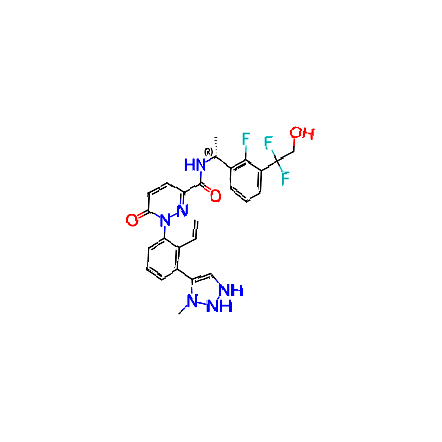 C=Cc1c(C2=CNNN2C)cccc1-n1nc(C(=O)N[C@H](C)c2cccc(C(F)(F)CO)c2F)ccc1=O